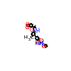 Cc1ccc(NC(=O)C2(c3ccc4c(c3)OCO4)CC2)cc1-c1ccc(S(=O)(=O)NC[C@@H]2CCCO2)cc1